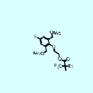 CCC(C)(C(=O)OCCOc1c(COC)cc(F)cc1COC)C(F)(F)F